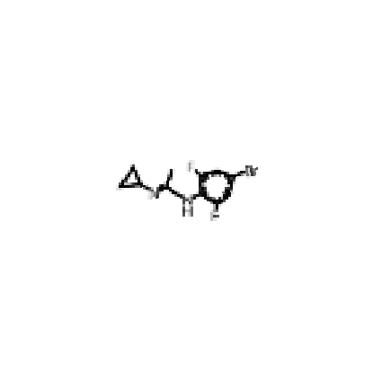 C/C(=N\C1CC1)Nc1c(F)cc(Br)cc1F